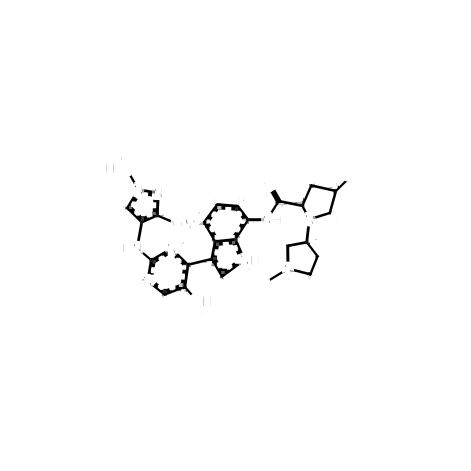 COc1nn(C)cc1Nc1ncc(C)c(-c2c[nH]c3c(NC(=O)C4CC(F)CN4C4CCN(C)C4)cccc23)n1